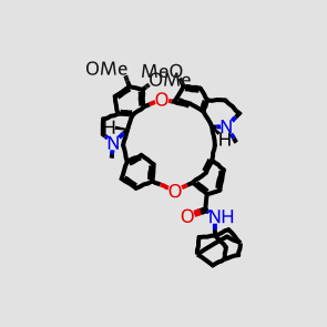 COc1cc2c3cc1Oc1c(OC)c(OC)cc4c1[C@H](Cc1ccc(cc1)Oc1cc(ccc1C(=O)NC15CC6CC(CC(C6)C1)C5)C[C@H]3N(C)CC2)N(C)CC4